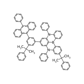 CC(C)(c1ccccc1)c1cc(-c2cc3c4c(c2)N(c2ccccc2)c2cc(C(C)(C)c5ccccc5)ccc2B4c2ccccc2N3c2ccccc2)cc(-c2c3ccccc3c(-c3ccccc3)c3ccccc23)c1